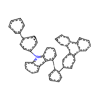 c1ccc(-c2ccc(-n3c4ccccc4c4c(-c5ccccc5-c5ccc6c7ccccc7c7ccccc7c6c5)cccc43)cc2)cc1